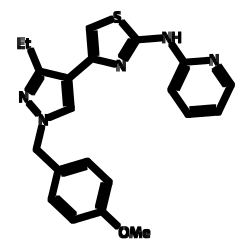 CCc1nn(Cc2ccc(OC)cc2)cc1-c1csc(Nc2ccccn2)n1